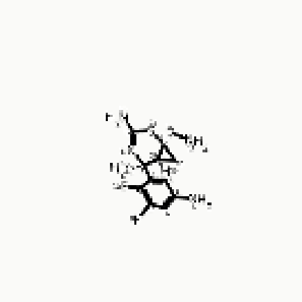 C[C@]1(c2cc(N)cc(F)c2F)N=C(N)S[C@@]2(CN)C[C@H]21